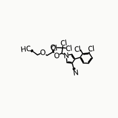 C#CCOCC(=O)OC(n1cc(C#N)c(-c2cccc(Cl)c2Cl)c1)C(Cl)(Cl)Cl